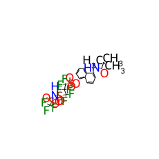 CC(C)(C)C(=O)Nc1cccc2c(OS(=O)(=O)C(F)(F)C(F)(F)C(F)(F)S(=O)(=O)NS(=O)(=O)C(F)(F)F)cccc12